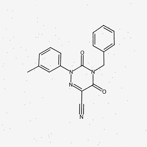 Cc1cccc(-n2nc(C#N)c(=O)n(Cc3ccccc3)c2=O)c1